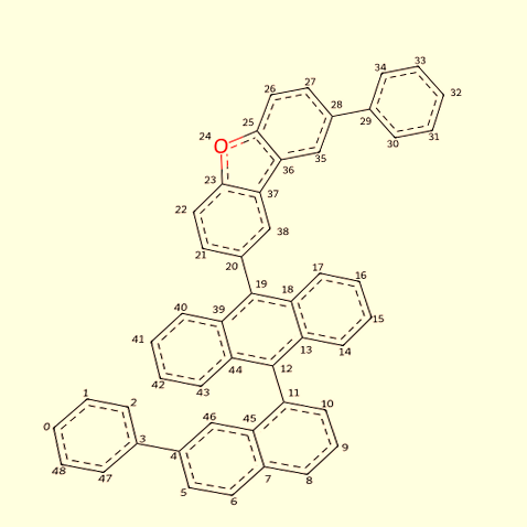 c1ccc(-c2ccc3cccc(-c4c5ccccc5c(-c5ccc6oc7ccc(-c8ccccc8)cc7c6c5)c5ccccc45)c3c2)cc1